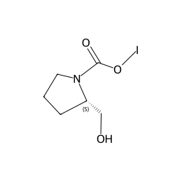 O=C(OI)N1CCC[C@H]1CO